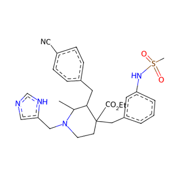 CCOC(=O)C1(Cc2cccc(NS(C)(=O)=O)c2)CCN(Cc2cnc[nH]2)C(C)C1Cc1ccc(C#N)cc1